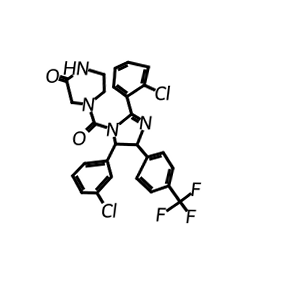 O=C1CN(C(=O)N2C(c3ccccc3Cl)=NC(c3ccc(C(F)(F)F)cc3)C2c2cccc(Cl)c2)CCN1